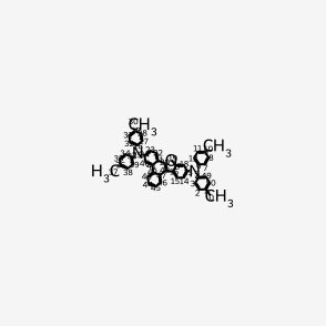 Cc1ccc(N(c2ccc(C)cc2)c2ccc3c(c2)oc2c4ccc(N(c5ccc(C)cc5)c5ccc(C)cc5)cc4c4ccccc4c32)cc1